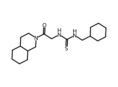 O=C(CNC(=S)NCC1CCCCC1)N1CCC2CCCCC2C1